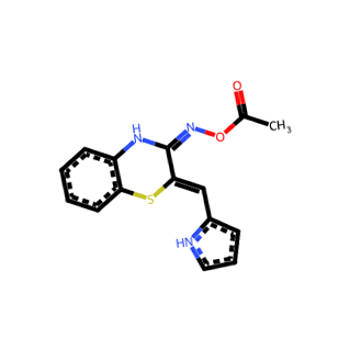 CC(=O)ON=C1Nc2ccccc2SC1=Cc1ccc[nH]1